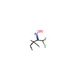 CCC(C)(C)C(=NO)C(F)F